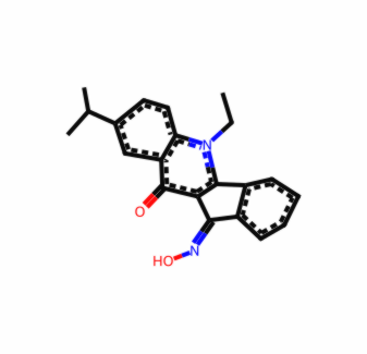 CCn1c2c(c(=O)c3cc(C(C)C)ccc31)C(=NO)c1ccccc1-2